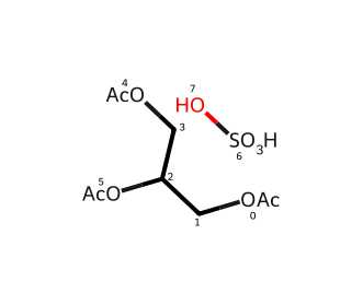 CC(=O)OCC(COC(C)=O)OC(C)=O.O=S(=O)(O)O